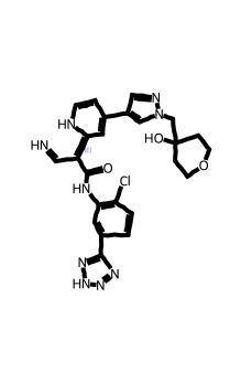 N=C/C(C(=O)Nc1cc(-c2nn[nH]n2)ccc1Cl)=C1/C=C(c2cnn(CC3(O)CCOCC3)c2)C=CN1